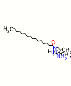 CCCCCCCCCCCCCCCC(=O)NCC(C)C(C)(C)N